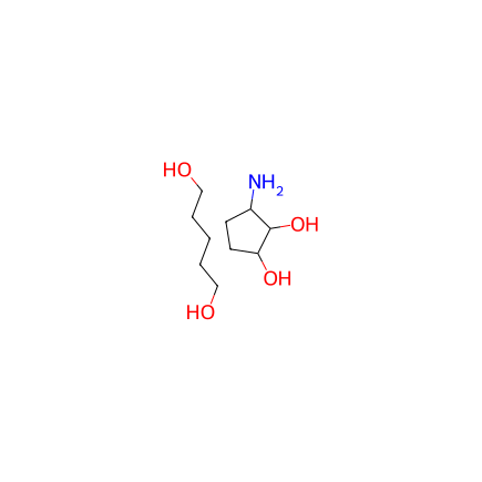 NC1CCC(O)C1O.OCCCCCO